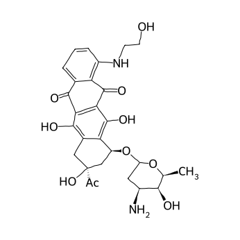 CC(=O)[C@]1(O)Cc2c(O)c3c(c(O)c2[C@@H](OC2C[C@H](N)[C@H](O)[C@H](C)O2)C1)C(=O)c1c(NCCO)cccc1C3=O